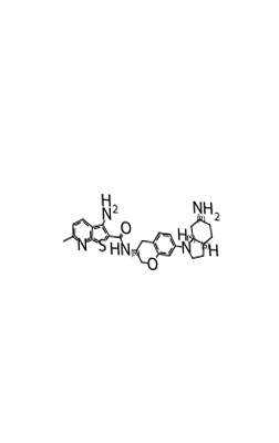 Cc1ccc2c(N)c(C(=O)N[C@H]3COc4cc(N5CC[C@@H]6CC[C@@H](N)C[C@@H]65)ccc4C3)sc2n1